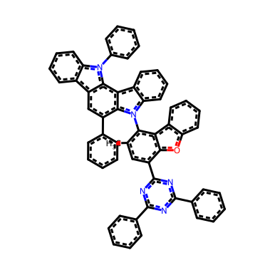 Cc1cc(-c2nc(-c3ccccc3)nc(-c3ccccc3)n2)c2oc3ccccc3c2c1-n1c2ccccc2c2c1c(-c1ccccc1)cc1c3ccccc3n(-c3ccccc3)c12